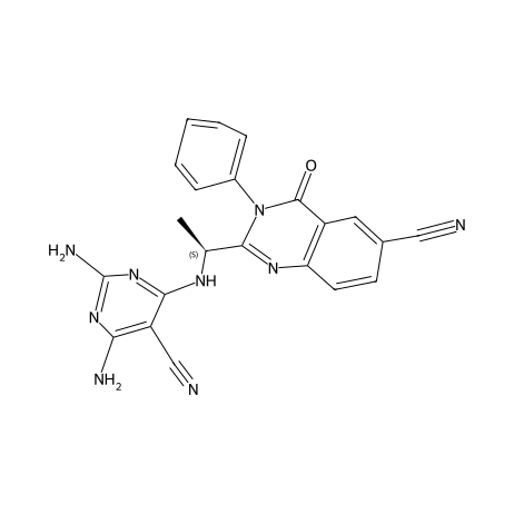 C[C@H](Nc1nc(N)nc(N)c1C#N)c1nc2ccc(C#N)cc2c(=O)n1-c1ccccc1